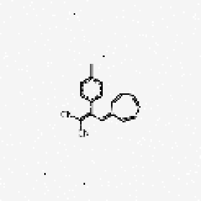 [C-]#[N+]/C(C#N)=C(/C=C1C=CC=CC=C1)c1ccc(C)cc1